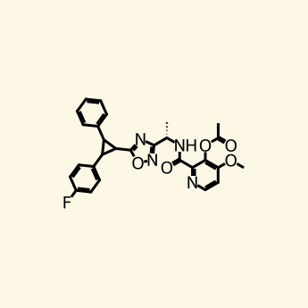 COc1ccnc(C(=O)N[C@@H](C)c2noc(C3C(c4ccccc4)C3c3ccc(F)cc3)n2)c1OC(C)=O